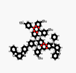 CC(C)(C)c1ccc(N(c2ccc(C(C)(C)C)cc2)c2ccc3c(c2)N(c2ccc(C(C)(C)C)cc2-c2ccccc2)c2cc(-c4ccc5c6c7c(ccc6n(-c6ccccc6)c5c4)sc4ccccc47)cc4c2B3c2ccc(-c3ccc5c(c3)sc3ccc6oc7ccccc7c6c35)cc2N4c2ccc(C(C)(C)C)cc2-c2ccccc2)cc1